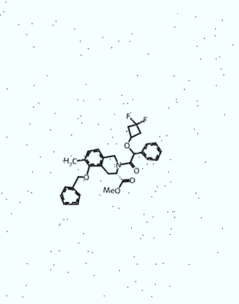 COC(=O)[C@@H]1Cc2c(ccc(C)c2OCc2ccccc2)CN1C(=O)C(OC1CC(F)(F)C1)c1ccccc1